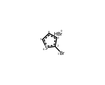 Br.Brc1cccs1